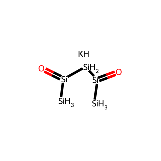 O=[Si]([SiH3])[SiH2][Si](=O)[SiH3].[KH]